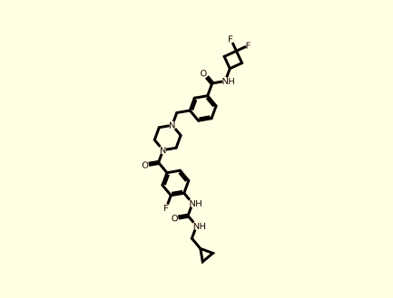 O=C(NCC1CC1)Nc1ccc(C(=O)N2CCN(Cc3cccc(C(=O)NC4CC(F)(F)C4)c3)CC2)cc1F